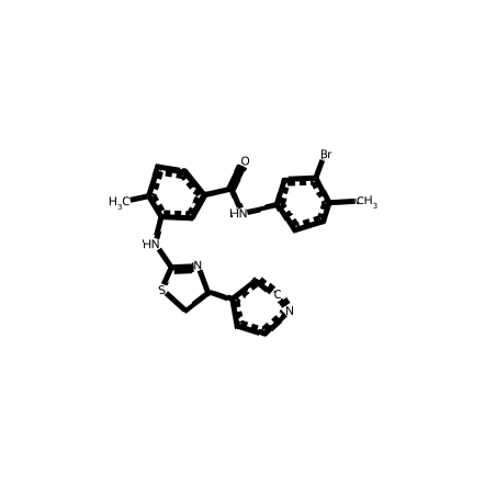 Cc1ccc(NC(=O)c2ccc(C)c(NC3=NC(c4ccncc4)CS3)c2)cc1Br